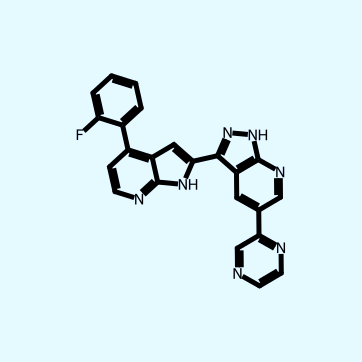 Fc1ccccc1-c1ccnc2[nH]c(-c3n[nH]c4ncc(-c5cnccn5)cc34)cc12